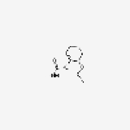 CNC(=O)OC1=CCCCC1OC(C)C